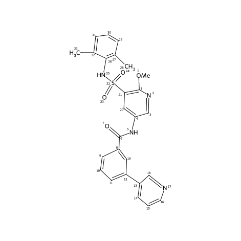 COc1ncc(NC(=O)c2cccc(-c3cccnc3)c2)cc1S(=O)(=O)Nc1c(C)cccc1C